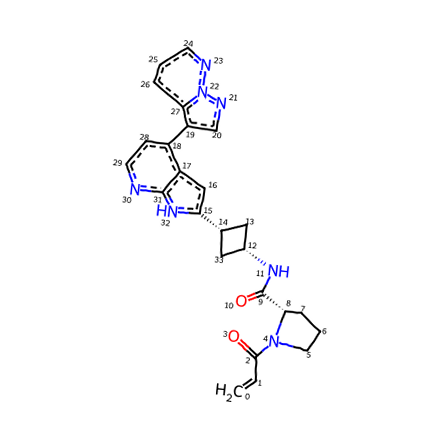 C=CC(=O)N1CCC[C@H]1C(=O)N[C@H]1C[C@@H](c2cc3c(-c4cnn5ncccc45)ccnc3[nH]2)C1